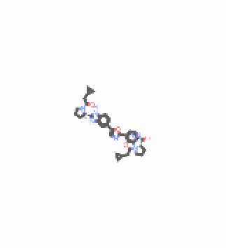 NC(=O)[C@@H]1CCC[N+]1(C(=O)CC1CC1)c1cccc(-c2ncc(-c3ccc4[nH]c([C@@H]5CCCN5C(=O)CC5CC5)nc4c3)o2)c1